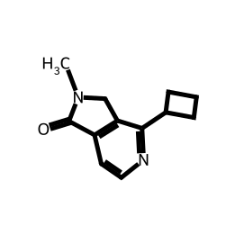 CN1Cc2c(ccnc2C2CCC2)C1=O